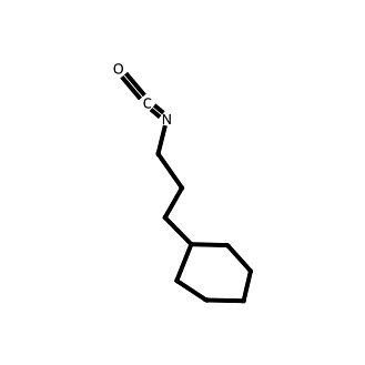 O=C=NCCC[C]1CCCCC1